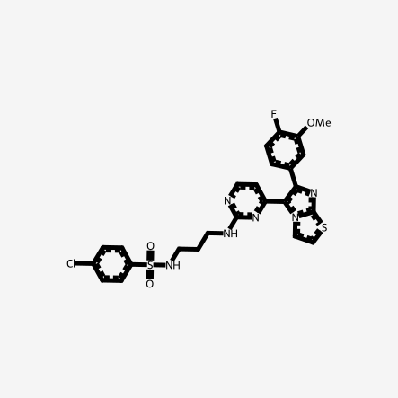 COc1cc(-c2nc3sccn3c2-c2ccnc(NCCCNS(=O)(=O)c3ccc(Cl)cc3)n2)ccc1F